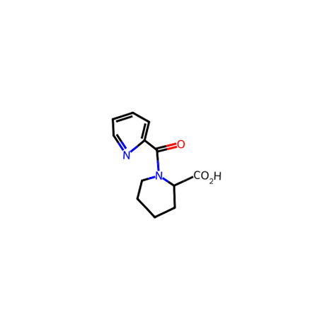 O=C(O)C1CCCCN1C(=O)c1ccccn1